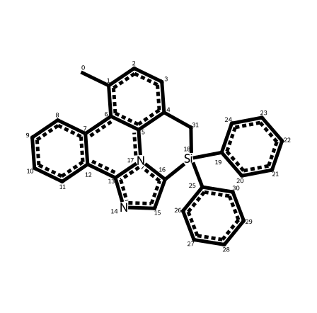 Cc1ccc2c3c1c1ccccc1c1ncc(n13)[Si](c1ccccc1)(c1ccccc1)C2